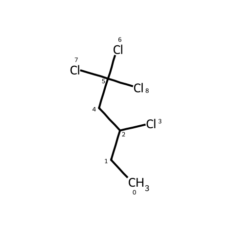 CCC(Cl)CC(Cl)(Cl)Cl